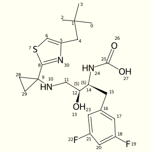 CC(C)(C)Cc1csc(C2(NC[C@H](O)[C@H](Cc3cc(F)cc(F)c3)NC(=O)O)CC2)n1